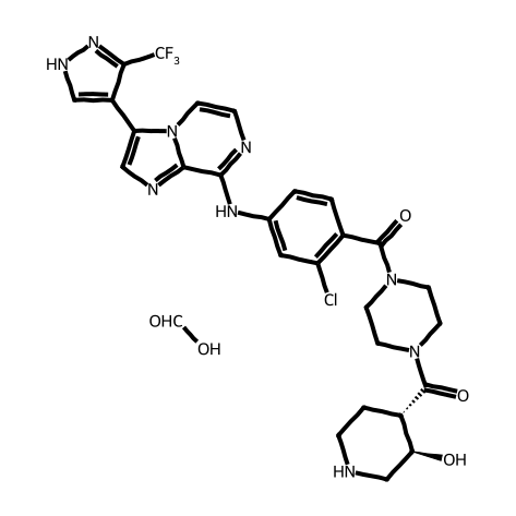 O=C(c1ccc(Nc2nccn3c(-c4c[nH]nc4C(F)(F)F)cnc23)cc1Cl)N1CCN(C(=O)[C@H]2CCNC[C@@H]2O)CC1.O=CO